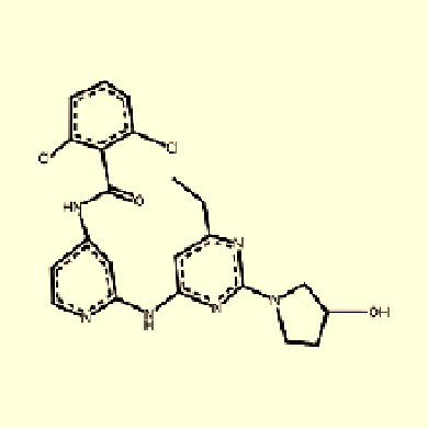 CCc1cc(Nc2cc(NC(=O)c3c(Cl)cccc3Cl)ccn2)nc(N2CCC(O)C2)n1